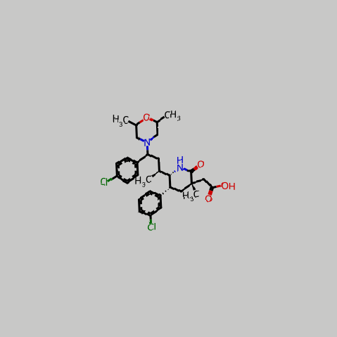 CC1CN(C(C[C@H](C)[C@@H]2NC(=O)[C@](C)(CC(=O)O)C[C@@H]2c2cccc(Cl)c2)c2ccc(Cl)cc2)CC(C)O1